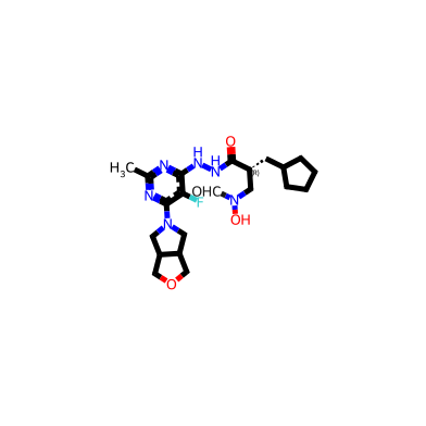 Cc1nc(NNC(=O)[C@H](CC2CCCC2)CN(O)C=O)c(F)c(N2CC3COCC3C2)n1